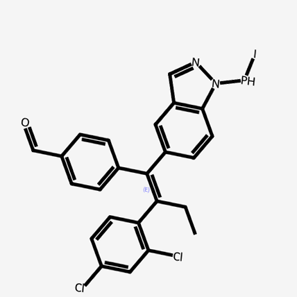 CC/C(=C(/c1ccc(C=O)cc1)c1ccc2c(cnn2PI)c1)c1ccc(Cl)cc1Cl